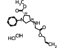 C=CCOC(=O)CN[C@@H]1C[C@@H](C(=O)OC)N(c2ccccc2)C1.Cl.Cl